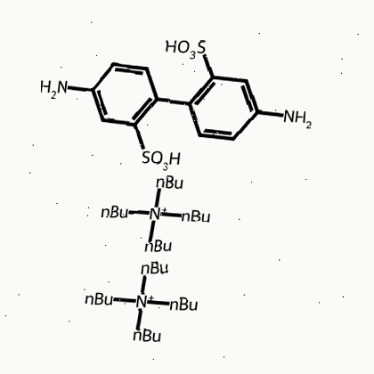 CCCC[N+](CCCC)(CCCC)CCCC.CCCC[N+](CCCC)(CCCC)CCCC.Nc1ccc(-c2ccc(N)cc2S(=O)(=O)O)c(S(=O)(=O)O)c1